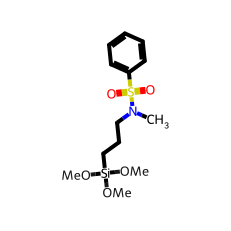 CO[Si](CCCN(C)S(=O)(=O)c1ccccc1)(OC)OC